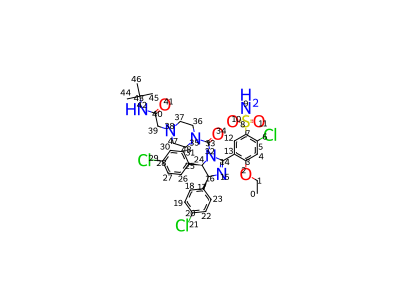 CCOc1cc(Cl)c(S(N)(=O)=O)cc1C1=N[C@@H](c2ccc(Cl)cc2)[C@@H](c2ccc(Cl)cc2)N1C(=O)N1CCN(CC(=O)NC(C)(C)C)CC1